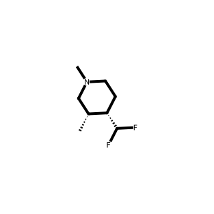 C[C@@H]1CN(C)CC[C@@H]1C(F)F